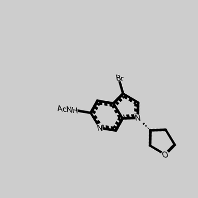 CC(=O)Nc1cc2c(Br)cn([C@@H]3CCOC3)c2cn1